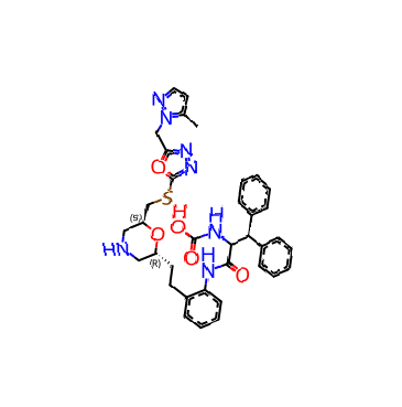 Cc1ccnn1Cc1nnc(SC[C@@H]2CNC[C@@H](CCc3ccccc3NC(=O)C(NC(=O)O)C(c3ccccc3)c3ccccc3)O2)o1